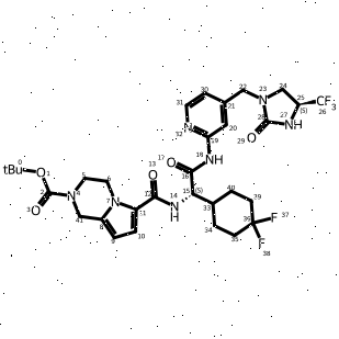 CC(C)(C)OC(=O)N1CCn2c(ccc2C(=O)N[C@H](C(=O)Nc2cc(CN3C[C@@H](C(F)(F)F)NC3=O)ccn2)C2CCC(F)(F)CC2)C1